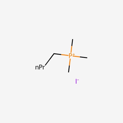 CCCC[P+](C)(C)C.[I-]